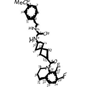 COc1ccc(CNC(=O)NC2CC3(C2)CC(C(=O)N2CCCc4ccc(F)c(F)c42)C3)cc1